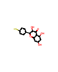 O=c1c(O)c(-c2ccc(S)cc2)oc2cc(O)cc(O)c12